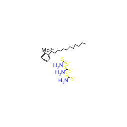 CCCCCCCCCCCCc1cccc[c]1[Mo+3].NC(=S)[S-].NC(=S)[S-].NC(=S)[S-]